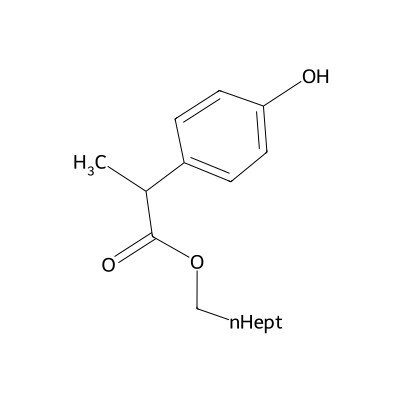 CCCCCCCCOC(=O)C(C)c1ccc(O)cc1